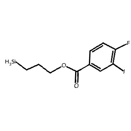 O=C(OCCC[SiH3])c1ccc(F)c(I)c1